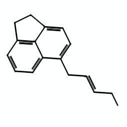 BrC/C=C/Cc1ccc2c3c(cccc13)CC2